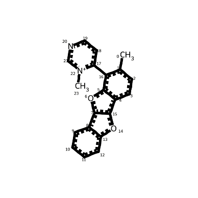 Cc1ccc2c(oc3c4ccccc4oc23)c1-c1ccnc[n+]1C